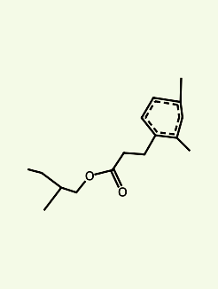 CCC(C)COC(=O)CCc1ccc(C)cc1C